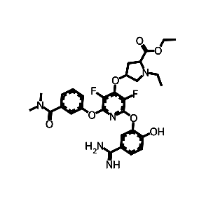 CCOC(=O)C1CC(Oc2c(F)c(Oc3cccc(C(=O)N(C)C)c3)nc(Oc3cc(C(=N)N)ccc3O)c2F)CN1CC